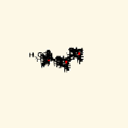 CCOC(=O)N(Cc1cc(C(F)(F)F)cc(C(F)(F)F)c1)Cc1cc2ccccc2nc1N(CC)CCCCCCOC(=O)N(Cc1cc(C(F)(F)F)cc(C(F)(F)F)c1)Cc1cc2ccccc2nc1N(CC)CC1CCCC(COC(=O)N(Cc2cc(C(F)(F)F)cc(C(F)(F)F)c2)Cc2cc3ccccc3nc2N(CC)CC2CC2)C1